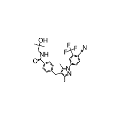 Cc1nn(-c2ccc(C#N)c(C(F)(F)F)c2)c(C)c1Cc1ccc(C(=O)NCC(C)(C)O)cc1